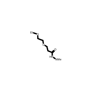 CCOCCOCCC(=O)NNC